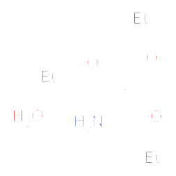 CCOC(N)(OCC)OCC.O